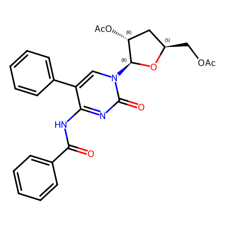 CC(=O)OC[C@@H]1C[C@@H](OC(C)=O)[C@H](n2cc(-c3ccccc3)c(NC(=O)c3ccccc3)nc2=O)O1